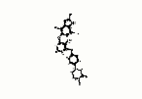 Cc1cc2c(F)c(Oc3ncnc(Nc4ccc(N5CCN(C)C(C)C5)cc4)c3C#N)cc(F)c2[nH]1